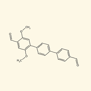 COc1cc(-c2ccc(-c3ccc(C=O)cc3)cc2)c(OC)cc1C=O